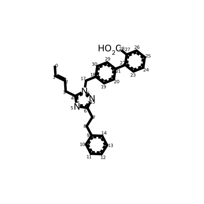 CC=CCc1nc(CCc2ccccc2)nn1Cc1ccc(-c2ccccc2C(=O)O)cc1